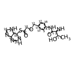 CC(O)C(=N)C(=O)Nc1ccc(COCC(=O)SC2NC=NC3N=CNC32)cc1